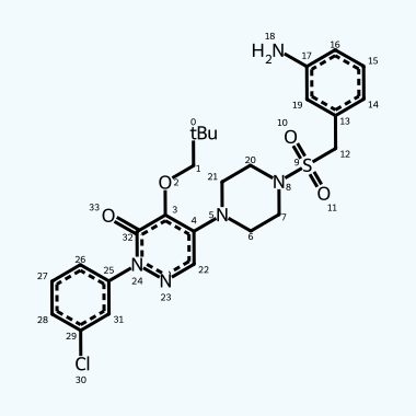 CC(C)(C)COc1c(N2CCN(S(=O)(=O)Cc3cccc(N)c3)CC2)cnn(-c2cccc(Cl)c2)c1=O